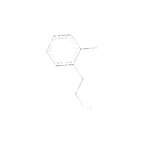 CC(=O)OCCc1ccccc1F